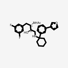 CC(=O)N[C@@H](Cc1cc(F)cc(F)c1)[C@H](O)CNC1(c2cccc(-c3ccoc3)c2)CCCCC1